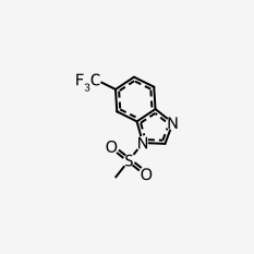 CS(=O)(=O)n1cnc2ccc(C(F)(F)F)cc21